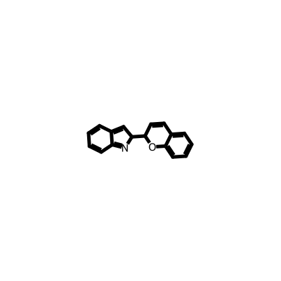 C1=CC(C2C=c3ccccc3=N2)Oc2ccccc21